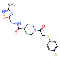 Cc1noc(CNC(=O)C2CCN(C(=O)CSc3ccc(F)cc3)CC2)n1